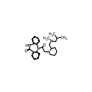 CC(C)CN(C)CC1CCCCN1CC(=O)N1c2ccccc2NC(=O)c2ccccc21